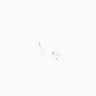 COC(=O)c1ccc(N(C)S(=O)(=O)c2ccccc2S(=O)(=O)Oc2cc(C)cc(OCCCON(C(=N)NC(=O)OC(C)(C)C)C(=O)OC(C)(C)C)c2)cc1